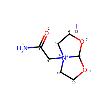 NC(=O)C[N+]12CCOC1OCC2.[I-]